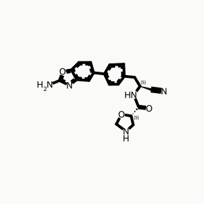 N#C[C@H](Cc1ccc(-c2ccc3oc(N)nc3c2)cc1)NC(=O)[C@@H]1CNCO1